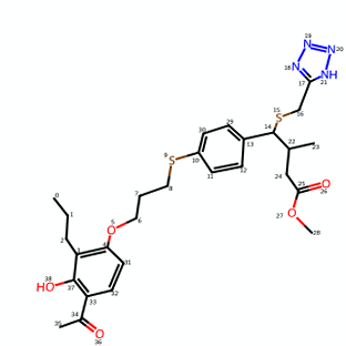 CCCc1c(OCCCSc2ccc(C(SCc3nnn[nH]3)C(C)CC(=O)OC)cc2)ccc(C(C)=O)c1O